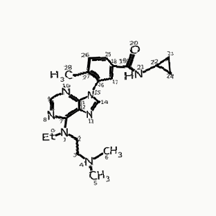 CCN(CCN(C)C)c1ncnc2c1ncn2-c1cc(C(=O)NC2CC2)ccc1C